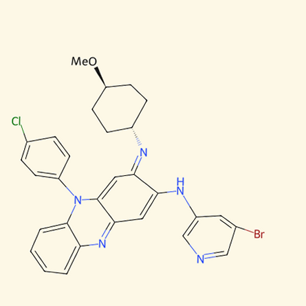 CO[C@H]1CC[C@H](/N=c2\cc3n(-c4ccc(Cl)cc4)c4ccccc4nc-3cc2Nc2cncc(Br)c2)CC1